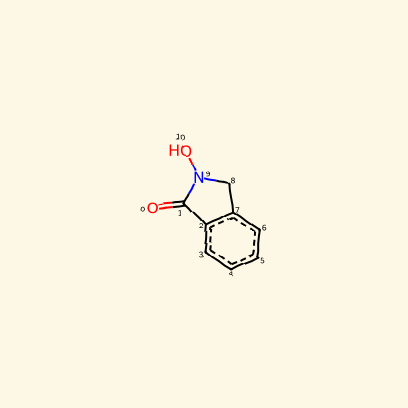 O=C1c2ccccc2CN1O